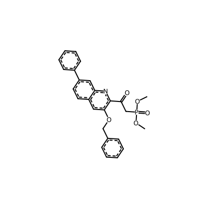 COP(=O)(CC(=O)c1nc2cc(-c3ccccc3)ccc2cc1OCc1ccccc1)OC